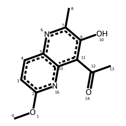 COc1ccc2nc(C)c(O)c(C(C)=O)c2n1